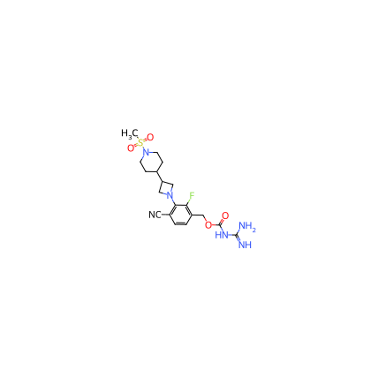 CS(=O)(=O)N1CCC(C2CN(c3c(C#N)ccc(COC(=O)NC(=N)N)c3F)C2)CC1